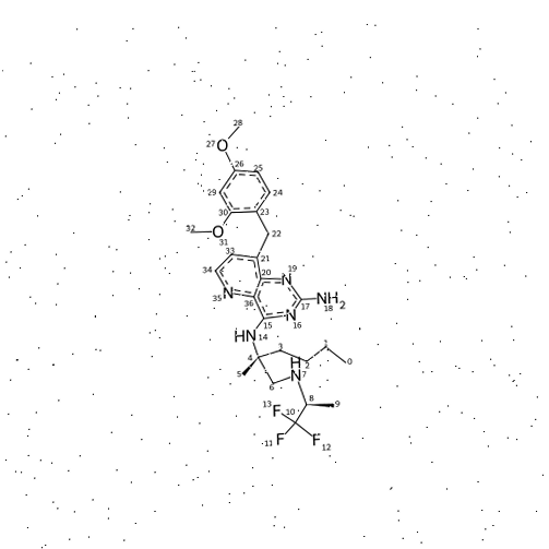 CCCC[C@](C)(CN[C@@H](C)C(F)(F)F)Nc1nc(N)nc2c(Cc3ccc(OC)cc3OC)ccnc12